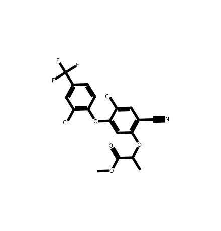 COC(=O)C(C)Oc1cc(Oc2ccc(C(F)(F)F)cc2Cl)c(Cl)cc1C#N